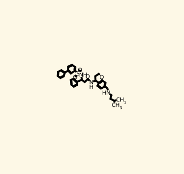 CC(C)CCNCc1ccc2c(c1)OCCC2NC(=O)CC(NS(=O)(=O)c1cccc(-c2ccccc2)c1)c1ccccc1